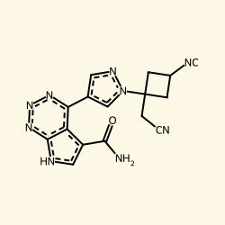 [C-]#[N+]C1CC(CC#N)(n2cc(-c3nnnc4[nH]cc(C(N)=O)c34)cn2)C1